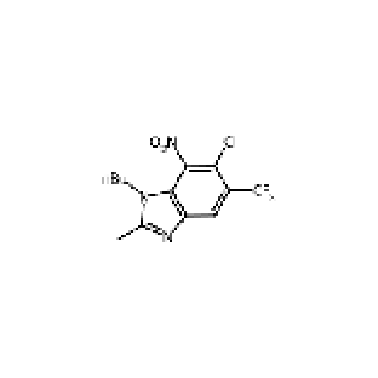 CCCCn1c(C)nc2cc(C(F)(F)F)c(Cl)c([N+](=O)[O-])c21